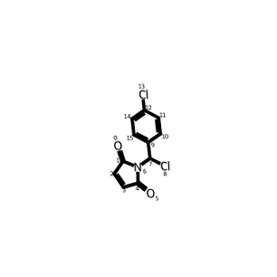 O=C1C=CC(=O)N1C(Cl)c1ccc(Cl)cc1